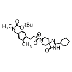 Cc1cc(CN(C)C(=O)OC(C)(C)C)ccc1CCS(=O)(=O)N1CCC2(CC1)N=C(C1CCCCC1)NC2=O